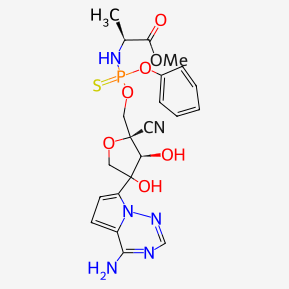 COC(=O)[C@H](C)NP(=S)(OC[C@@]1(C#N)OCC(O)(c2ccc3c(N)ncnn23)[C@@H]1O)Oc1ccccc1